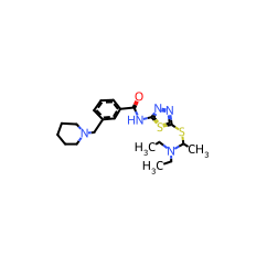 CCN(CC)C(C)Sc1nnc(NC(=O)c2cccc(CN3CCCCC3)c2)s1